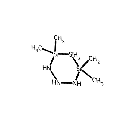 C[Si]1(C)NNN[Si](C)(C)[SiH2]1